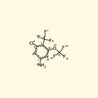 Nc1nc(Cl)c(C(F)(F)F)c(OC(F)(F)F)n1